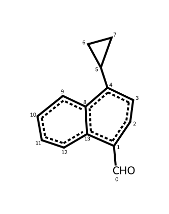 O=Cc1ccc(C2CC2)c2ccccc12